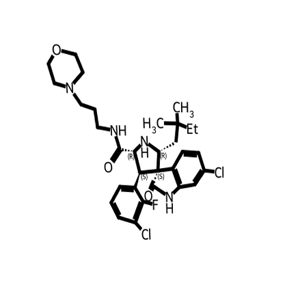 CCC(C)(C)C[C@H]1N[C@@H](C(=O)NCCCN2CCOCC2)[C@H](c2cccc(Cl)c2F)[C@@]12C(=O)Nc1cc(Cl)ccc12